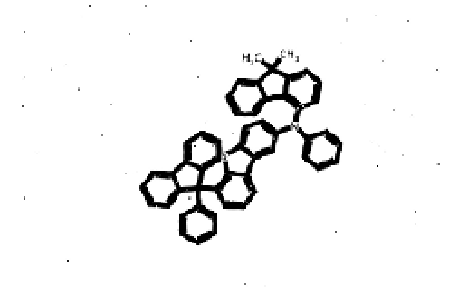 CC1(C)c2ccccc2-c2c(N(c3ccccc3)c3ccc4sc5c(C6(c7ccccc7)c7ccccc7-c7ccccc76)cccc5c4c3)cccc21